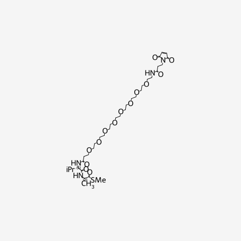 CSC(=O)[C@H](C)NC(=O)[C@@H](NC(=O)CCOCCOCCOCCOCCOCCOCCOCCOCCNC(=O)CCN1C(=O)C=CC1=O)C(C)C